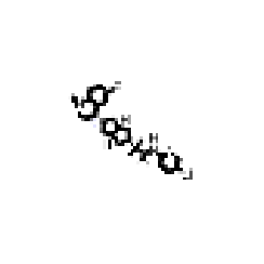 C=Nc1ccc(F)cc1/C(=C\C)[C@@H]1C[C@@H]2C[C@H](C(C)(C)C(=O)Nc3ccc(Cl)cn3)C[C@@H]2C1